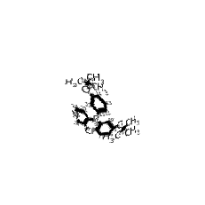 CC(C)(C)Oc1cccc(P(c2cccc(OC(C)(C)C)c2)c2ccncc2Cl)c1